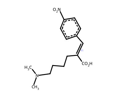 CN(C)CCCC/C(=C\c1ccc([N+](=O)[O-])cc1)C(=O)O